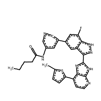 CCCCC(=O)Nc1cncc(-c2cc(F)c3[nH]nc(-c4nc5c(-c6ccc(C)s6)ccnc5[nH]4)c3c2)c1